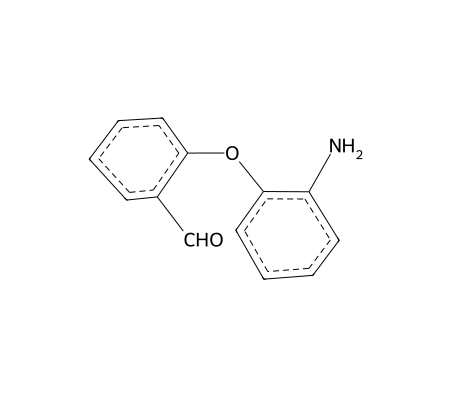 Nc1ccccc1Oc1ccccc1C=O